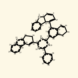 C1=CC2Oc3ccccc3C2C(c2cc(-c3nc(C4=Cc5c(sc6ccccc56)CC4)nc(-c4ccccc4)n3)cc3c2C=CCC3)=C1